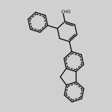 O=CC1=CC=C(c2ccc3c(c2)Cc2ccccc2-3)CC1c1ccccc1